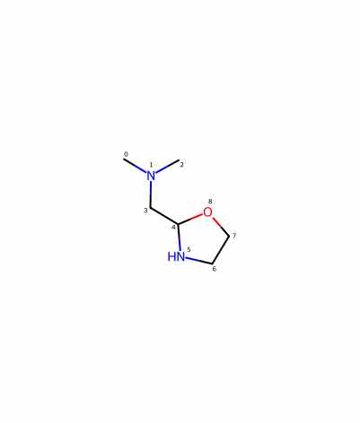 CN(C)CC1NCCO1